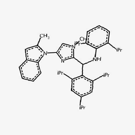 Cc1cc2ccccc2n1-c1cn(C)c(C(Nc2c(C(C)C)cccc2C(C)C)c2c(C(C)C)cc(C(C)C)cc2C(C)C)n1